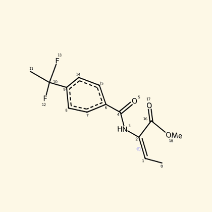 C/C=C(/NC(=O)c1ccc(C(C)(F)F)cc1)C(=O)OC